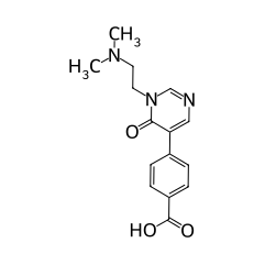 CN(C)CCn1cncc(-c2ccc(C(=O)O)cc2)c1=O